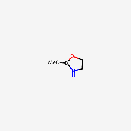 COB1NCCO1